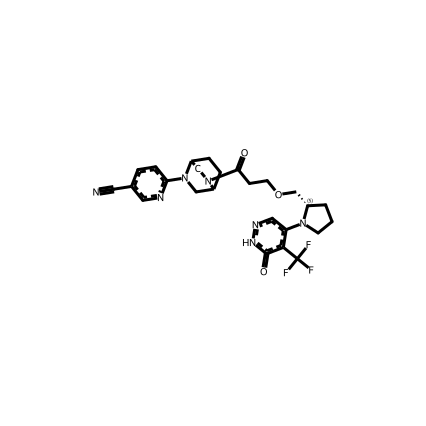 N#Cc1ccc(N2CC3CCC2CN3C(=O)CCOC[C@@H]2CCCN2c2cn[nH]c(=O)c2C(F)(F)F)nc1